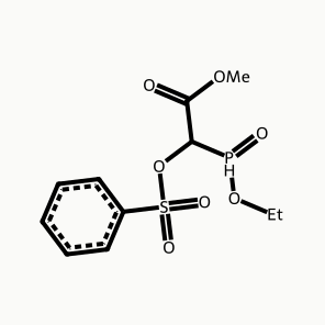 CCO[PH](=O)C(OS(=O)(=O)c1ccccc1)C(=O)OC